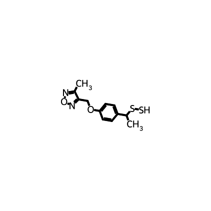 Cc1nonc1COc1ccc(C(C)SS)cc1